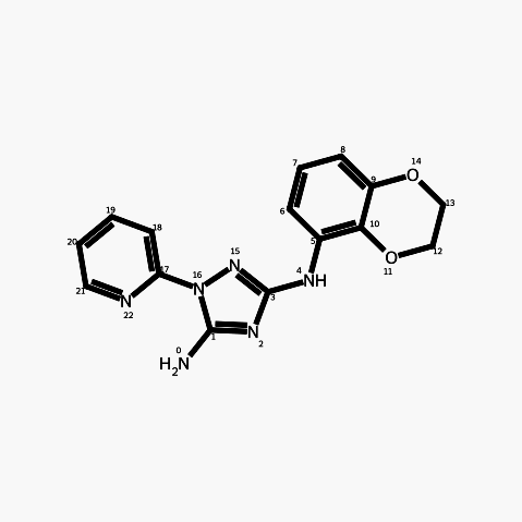 Nc1nc(Nc2cccc3c2OCCO3)nn1-c1ccccn1